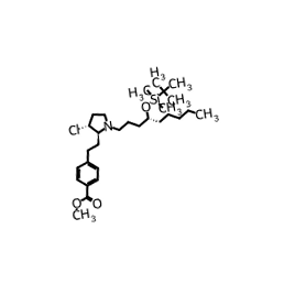 CCCCC[C@H](CCCN1CC[C@@H](Cl)[C@@H]1CCc1ccc(C(=O)OC)cc1)O[Si](C)(C)C(C)(C)C